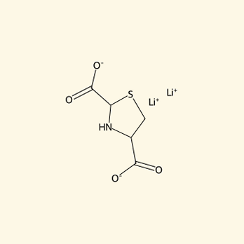 O=C([O-])C1CSC(C(=O)[O-])N1.[Li+].[Li+]